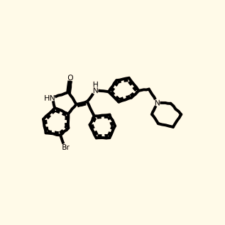 O=C1Nc2ccc(Br)cc2/C1=C(/Nc1ccc(CN2CCCCC2)cc1)c1ccccc1